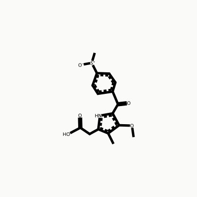 COc1c(C(=O)c2ccc([S+](C)[O-])cc2)[nH]c(CC(=O)O)c1C